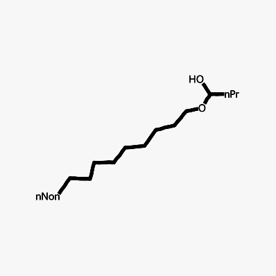 CCCCCCCCCCCCCCCCCCO[C](O)CCC